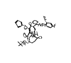 CC(C)(C)[Si](C)(C)OC[C@H]1CCC(=O)[C@H]2CN1C(=O)c1c(OCc3ccccc3)c(=O)c(C(=O)NCc3ccc(F)cc3F)cn12